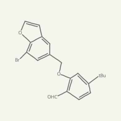 CC(C)(C)c1ccc(C=O)c(OCc2cc(Br)c3occc3c2)c1